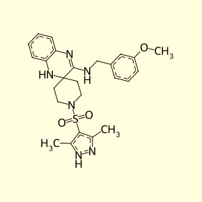 COc1cccc(CNC2=Nc3ccccc3NC23CCN(S(=O)(=O)c2c(C)n[nH]c2C)CC3)c1